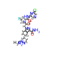 C=N/C=C(\C=C/N)c1ccc2c(c1)c(C(N)=O)nn2CC(=O)N1C[C@H](F)C[C@H]1C(=O)Nc1cncc(Cl)n1